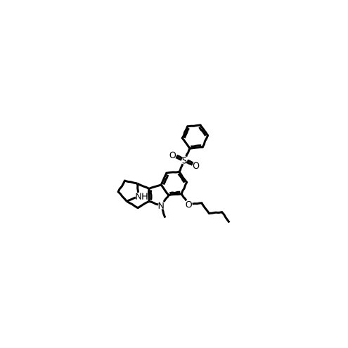 CCCCOc1cc(S(=O)(=O)c2ccccc2)cc2c3c(n(C)c12)CC1CCC3N1